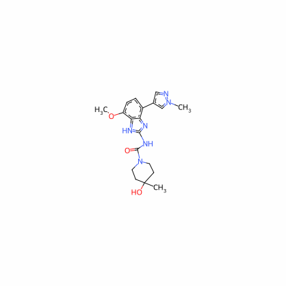 COc1ccc(-c2cnn(C)c2)c2nc(NC(=O)N3CCC(C)(O)CC3)[nH]c12